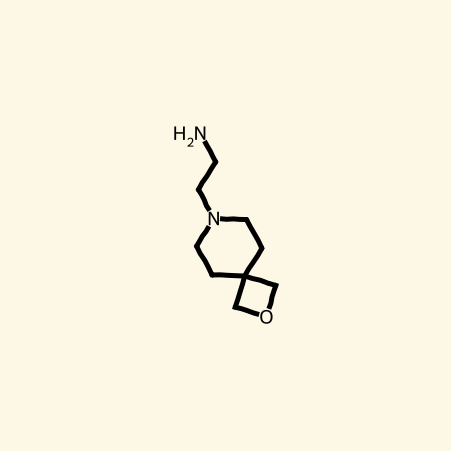 NCCN1CCC2(CC1)COC2